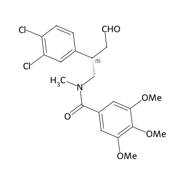 COc1cc(C(=O)N(C)C[C@@H](CC=O)c2ccc(Cl)c(Cl)c2)cc(OC)c1OC